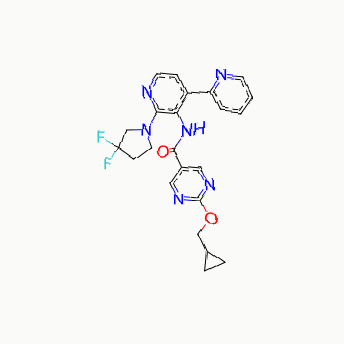 O=C(Nc1c(-c2ccccn2)ccnc1N1CCC(F)(F)C1)c1cnc(OCC2CC2)nc1